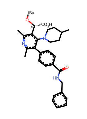 Cc1nc(C)c([C@H](OC(C)(C)C)C(=O)O)c(N2CCC(C)CC2)c1-c1ccc(C(=O)NCc2ccccc2)cc1